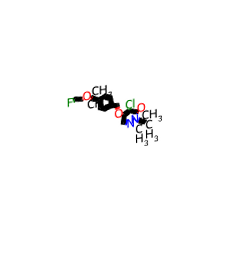 CC(C)(OCCF)c1ccc(COc2cnn(C(C)(C)C)c(=O)c2Cl)cc1